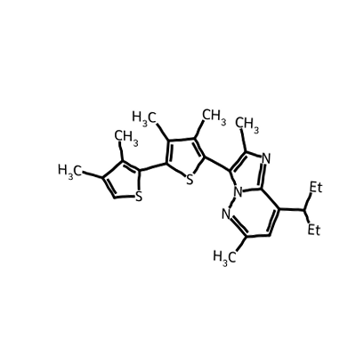 CCC(CC)c1cc(C)nn2c(-c3sc(-c4scc(C)c4C)c(C)c3C)c(C)nc12